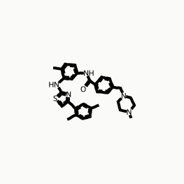 Cc1ccc(C)c(-c2csc(Nc3cc(NC(=O)c4ccc(CN5CCN(C)CC5)cc4)ccc3C)n2)c1